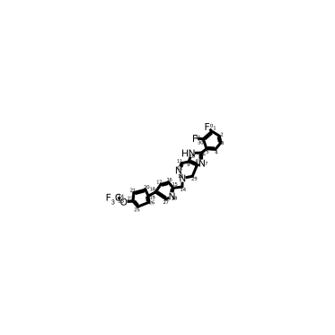 Fc1cccc(-c2nc3c([nH]2)C=NN(Cc2ccc(-c4ccc(OC(F)(F)F)cc4)cn2)C3)c1F